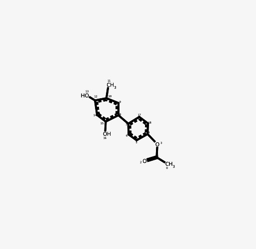 CC(=O)Oc1ccc(-c2cc(C)c(O)cc2O)cc1